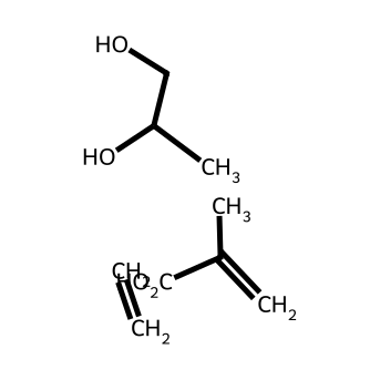 C=C.C=C(C)C(=O)O.CC(O)CO